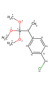 CO[Si](OC)(OC)C(C)c1ccc(CCl)cc1